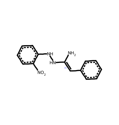 N/C(=C\c1ccccc1)NNc1ccccc1[N+](=O)[O-]